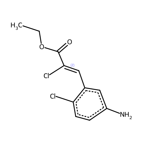 CCOC(=O)/C(Cl)=C/c1cc(N)ccc1Cl